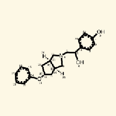 Oc1ccc(C(O)CN2C[C@H]3C[C@@H](Oc4ccccc4)C[C@H]3C2)cc1